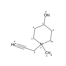 C#CC[N+]1(C)CCC(O)CC1